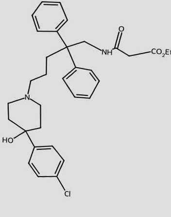 CCOC(=O)CC(=O)NCC(CCCN1CCC(O)(c2ccc(Cl)cc2)CC1)(c1ccccc1)c1ccccc1